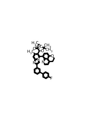 COC(=O)[C@@H](OC(C)(C)C)c1c(C)cc2nc(-c3cccc(-c4ccc(F)cc4)c3)cn2c1-c1ccc2c3c(ccnc13)CCO2